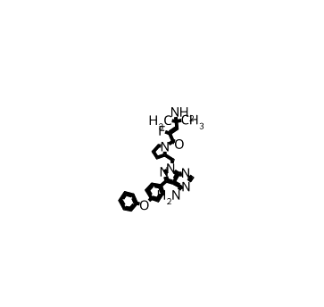 CC(C)(N)C=C(F)C(=O)N1CCCC1Cn1nc(-c2ccc(Oc3ccccc3)cc2)c2c(N)ncnc21